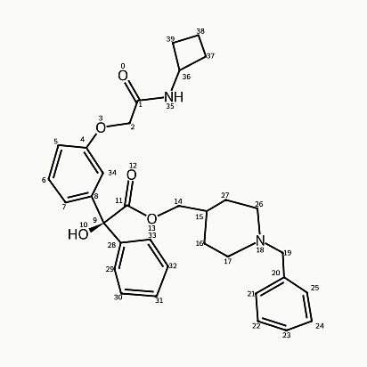 O=C(COc1cccc([C@](O)(C(=O)OCC2CCN(Cc3ccccc3)CC2)c2ccccc2)c1)NC1CCC1